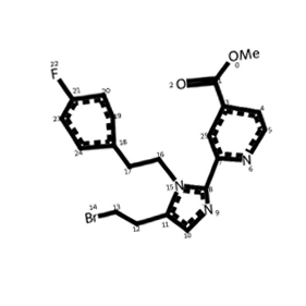 COC(=O)c1ccnc(-c2ncc(CCBr)n2CCc2ccc(F)cc2)c1